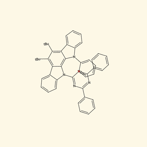 CC(C)(C)c1c(C(C)(C)C)c2c3ccccc3n(-c3nc(-c4ccccc4)nc(-c4ccccc4)n3)c2c2c1c1ccccc1n2-c1ccccc1